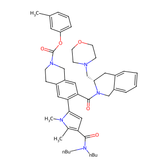 CCCCN(CCCC)C(=O)c1cc(-c2cc3c(cc2C(=O)N2Cc4ccccc4C[C@H]2CN2CCOCC2)CN(C(=O)Oc2cccc(C)c2)CC3)n(C)c1C